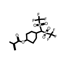 C=C(C)C(=O)OC1CCC(C(S(=O)(=O)C(F)(F)F)S(=O)(=O)C(F)(F)F)CC1